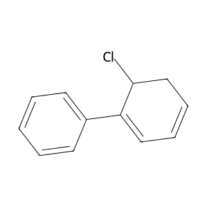 ClC1CC=CC=C1c1ccccc1